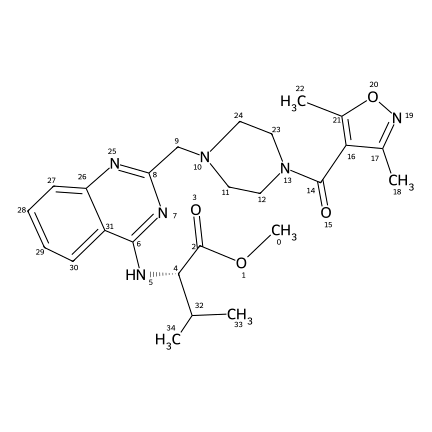 COC(=O)[C@@H](Nc1nc(CN2CCN(C(=O)c3c(C)noc3C)CC2)nc2ccccc12)C(C)C